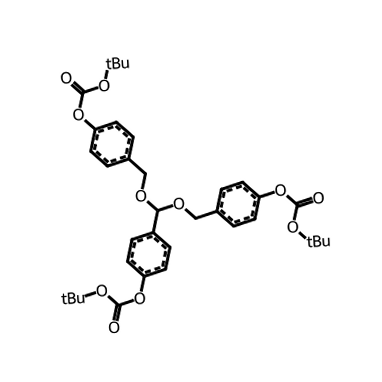 CC(C)(C)OC(=O)Oc1ccc(COC(OCc2ccc(OC(=O)OC(C)(C)C)cc2)c2ccc(OC(=O)OC(C)(C)C)cc2)cc1